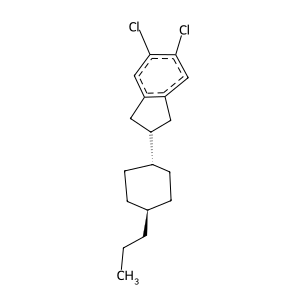 CCC[C@H]1CC[C@H](C2Cc3cc(Cl)c(Cl)cc3C2)CC1